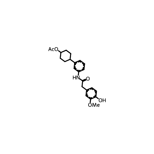 COc1cc(CC(=O)Nc2cccc(C3CCC(OC(C)=O)CC3)c2)ccc1O